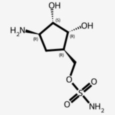 N[C@@H]1C[C@H](COS(N)(=O)=O)[C@@H](O)[C@H]1O